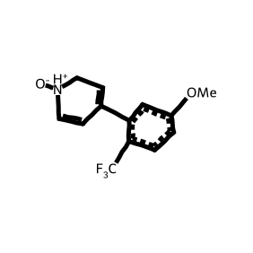 COc1ccc(C(F)(F)F)c(C2=CC[NH+]([O-])C=C2)c1